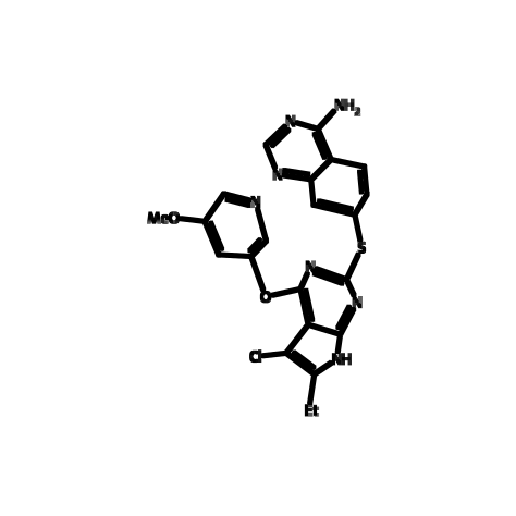 CCc1[nH]c2nc(Sc3ccc4c(N)ncnc4c3)nc(Oc3cncc(OC)c3)c2c1Cl